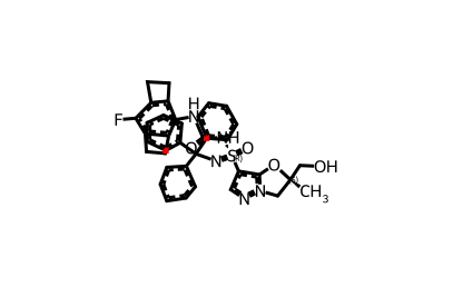 C[C@@]1(CO)Cn2ncc([S@](=O)(=NC(c3ccccc3)(c3ccccc3)c3ccccc3)NC(=O)Nc3c4c(c(F)c5c3CC5)CC4)c2O1